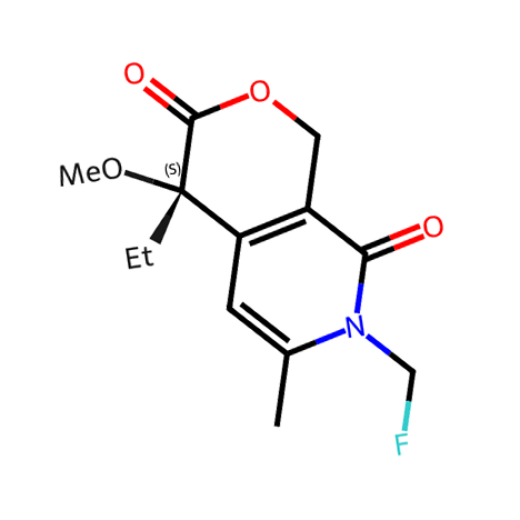 CC[C@@]1(OC)C(=O)OCc2c1cc(C)n(CF)c2=O